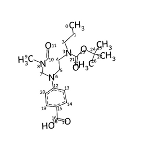 CCCN(CCN(CN(C)C=O)c1ccc(C(=O)O)cc1)C(=O)OC(C)(C)C